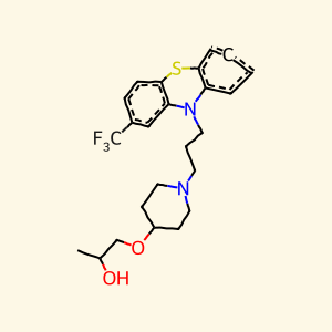 CC(O)COC1CCN(CCCN2c3ccccc3Sc3ccc(C(F)(F)F)cc32)CC1